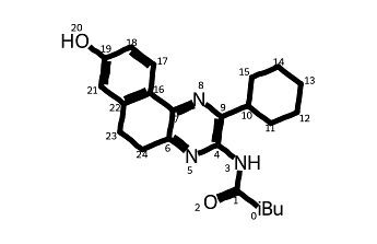 CCC(C)C(=O)Nc1nc2c(nc1C1CCCCC1)-c1ccc(O)cc1CC2